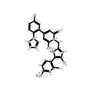 Cc1cc(-c2cc(Cl)ccc2-n2cnnn2)cc(=O)n1Cc1nc(Cl)c(-c2ccc(N)nc2F)[nH]1